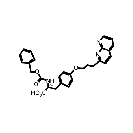 O=C(N[C@@H](Cc1ccc(OCCCc2ccc3cccnc3n2)cc1)C(=O)O)OCc1ccccc1